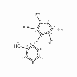 Fc1cc(F)c(F)c(F)c1F.Oc1ccccc1